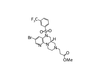 COC(=O)CCN1CCN2c3ncc(Br)cc3N(S(=O)(=O)c3cccc(C(F)(F)F)c3)C[C@@H]2C1